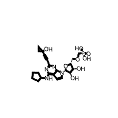 O=P(O)(O)COC[C@H]1O[C@@H](n2ccc3c(NC4CCCC4)nc(C#CC4(O)CC4)nc32)[C@H](O)[C@@H]1O